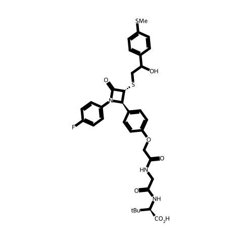 CSc1ccc(C(O)CS[C@H]2C(=O)N(c3ccc(F)cc3)[C@@H]2c2ccc(OCC(=O)NCC(=O)N[C@@H](C(=O)O)C(C)(C)C)cc2)cc1